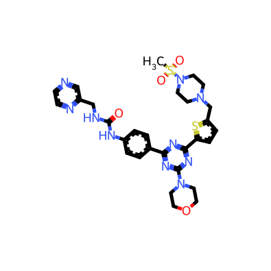 CS(=O)(=O)N1CCN(Cc2ccc(-c3nc(-c4ccc(NC(=O)NCc5cnccn5)cc4)nc(N4CCOCC4)n3)s2)CC1